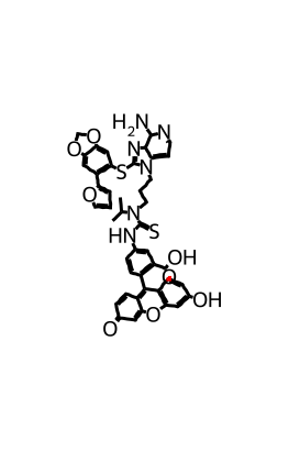 CC(C)N(CCCN1C2=CC=NC(N)C2N=C1Sc1cc2c(cc1-c1ccco1)OCO2)C(=S)Nc1ccc(-c2c3ccc(=O)cc-3oc3cc(O)ccc23)c(C(=O)O)c1